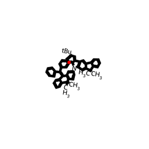 CC(C)(C)c1ccc2c(c1)c1cc3c(cc1n2-c1ccc2c(c1)C(=C(c1ccccc1)c1ccccc1)c1ccccc1C2(C)C)C(C)(C)c1ccccc1-3